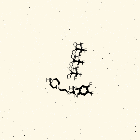 Fc1cc2nc(SCCN3CCNCC3)[nH]c2cc1F.O=C(O)C(F)(F)F.O=C(O)C(F)(F)F.O=C(O)C(F)(F)F